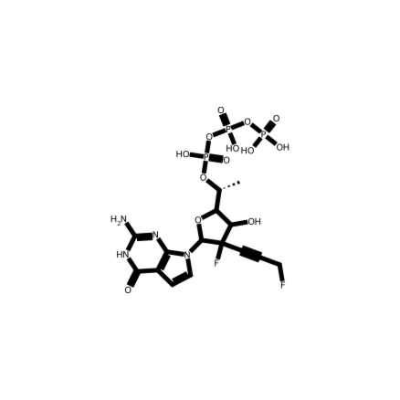 C[C@@H](OP(=O)(O)OP(=O)(O)OP(=O)(O)O)C1OC(n2ccc3c(=O)[nH]c(N)nc32)C(F)(C#CCF)C1O